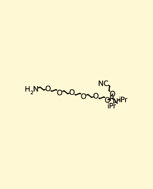 CC(C)N(C(C)C)P(OCCC#N)OCCOCCOCCOCCOCCOCCN